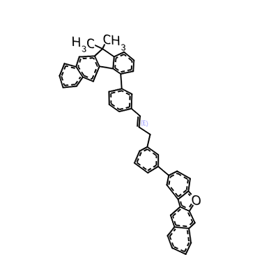 CC1(C)c2cc3ccccc3cc2-c2c(-c3cccc(/C=C/Cc4cccc(-c5ccc6oc7cc8ccccc8cc7c6c5)c4)c3)cccc21